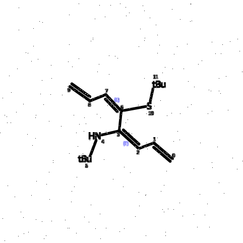 C=C/C=C(NC(C)(C)C)\C(=C/C=C)SC(C)(C)C